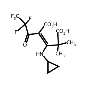 CC(C)(C(=O)O)C(NC1CC1)=C(C(=O)O)C(=O)C(F)(F)C(F)(F)F